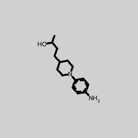 CC(O)CCC1CCN(c2ccc(N)cc2)CC1